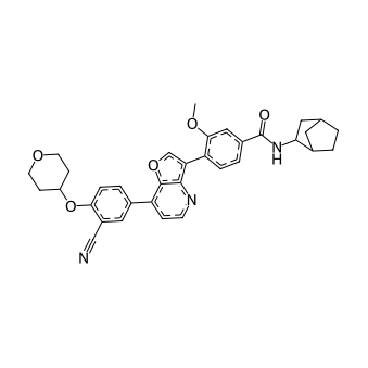 COc1cc(C(=O)NC2CC3CCC2C3)ccc1-c1coc2c(-c3ccc(OC4CCOCC4)c(C#N)c3)ccnc12